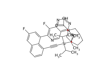 CC(C)[Si](C#Cc1cccc2cc(F)cc(-c3ncc4c(N5C6CCC5CN(C(=O)O)C6)ncnc4c3F)c12)(C(C)C)C(C)C